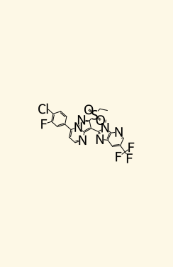 CCS(=O)(=O)c1nn2c(-c3ccc(Cl)c(F)c3)ccnc2c1-c1nc2cc(C(F)(F)F)cnc2n1C